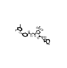 Cc1ccc(Oc2cccc(C(=O)NCC(=O)N3C[C@H](S(C)(=O)=O)C[C@H]3C(=O)NCc3cc4cnccc4[nH]3)c2)c(F)c1